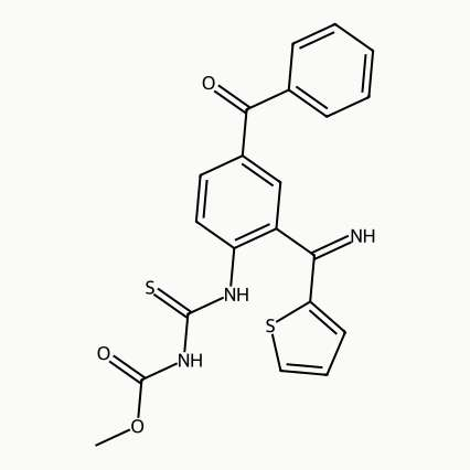 COC(=O)NC(=S)Nc1ccc(C(=O)c2ccccc2)cc1C(=N)c1cccs1